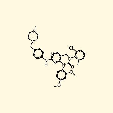 COc1ccc(N2C(=O)N(c3c(C)cccc3Cl)Cc3cnc(Nc4ccc(CN5CCN(C)CC5)cc4)nc32)c(OC)c1